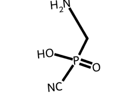 N#CP(=O)(O)CN